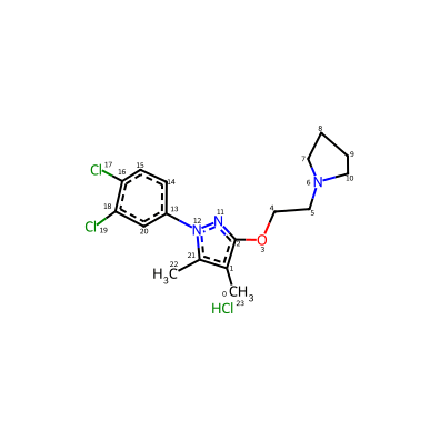 Cc1c(OCCN2CCCC2)nn(-c2ccc(Cl)c(Cl)c2)c1C.Cl